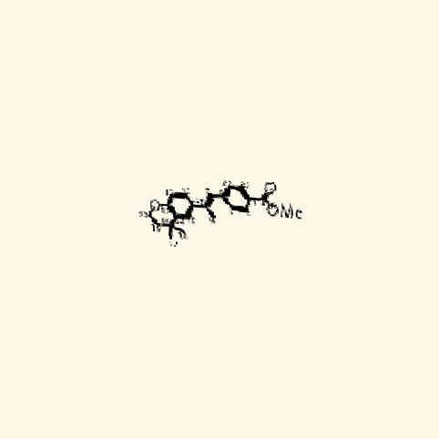 COC(=O)c1ccc(/C=C(\C)c2ccc3c(c2)C(C)(C)CCO3)cc1